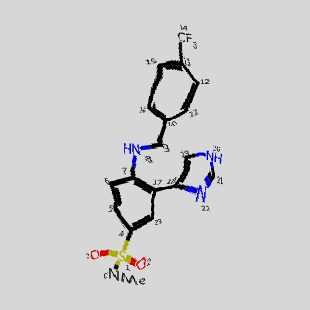 CNS(=O)(=O)c1ccc(NCc2ccc(C(F)(F)F)cc2)c(-c2c[nH]cn2)c1